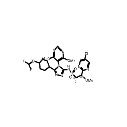 COc1ncnc(OC)c1-n1c(NS(=O)(=O)[C@@H](C)[C@H](OC)c2ncc(Cl)cn2)nnc1C1CCC(OC(F)F)CC1